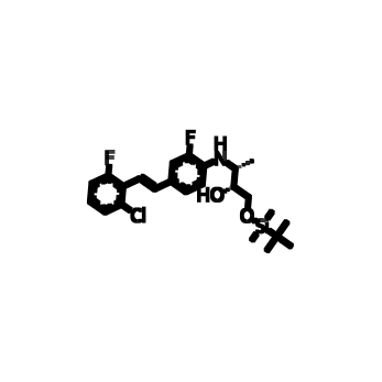 C[C@@H](Nc1ccc(/C=C/c2c(F)cccc2Cl)cc1F)[C@@H](O)CO[Si](C)(C)C(C)(C)C